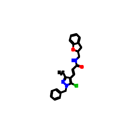 Cc1nn(Cc2ccccc2)c(Cl)c1C=CC(=O)NCC1Cc2ccccc2O1